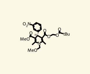 COCN1C(C)=C(C(=O)OC)[C@H](c2cccc([N+](=O)[O-])c2)C(C(=O)OCOC(=O)C(C)(C)C)=C1C